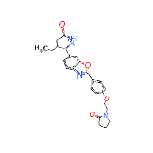 CCC1CC(=O)NN=C1c1ccc2nc(-c3ccc(OCCN4CCCC4=O)cc3)oc2c1